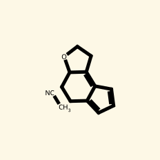 C1=CC2=C3CCOC3CCC2=C1.CC#N